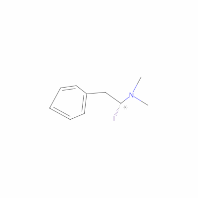 CN(C)[C@H](I)Cc1ccccc1